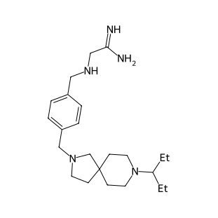 CCC(CC)N1CCC2(CCN(Cc3ccc(CNCC(=N)N)cc3)C2)CC1